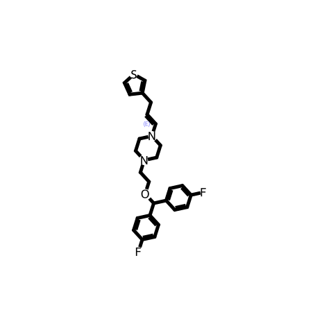 Fc1ccc(C(OCCN2CCN(/C=C/Cc3ccsc3)CC2)c2ccc(F)cc2)cc1